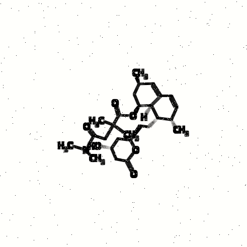 C[C@H]1C=C2C=C[C@H](C)[C@H](CC[C@@H]3C[C@@H](O)CC(=O)O3)[C@H]2[C@@H](OC(=O)C(C)(C)CC(=O)N(C)C)C1